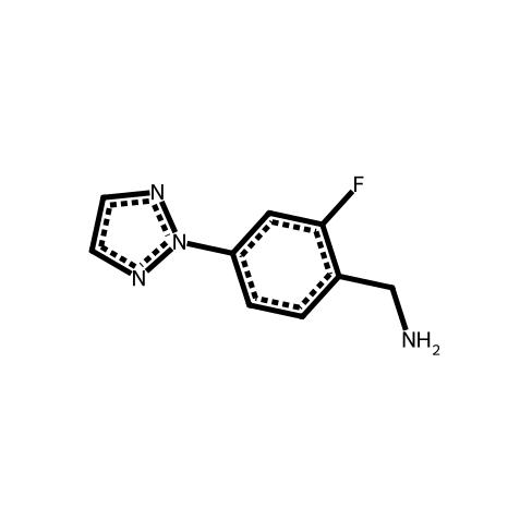 NCc1ccc(-n2nccn2)cc1F